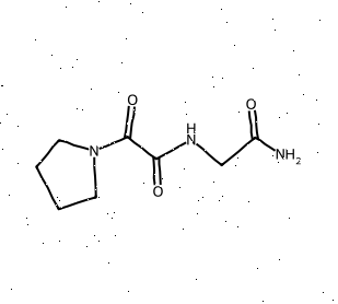 NC(=O)CNC(=O)C(=O)N1CCCC1